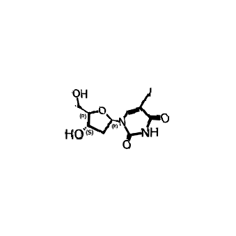 O=c1[nH]c(=O)n([C@H]2C[C@H](O)[C@@H]([CH]O)O2)cc1I